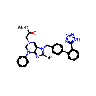 CCCC1N=C2C(=CN(CC(=O)OC)CN2c2ccccc2)N1Cc1ccc(-c2ccccc2-c2nnn[nH]2)cc1